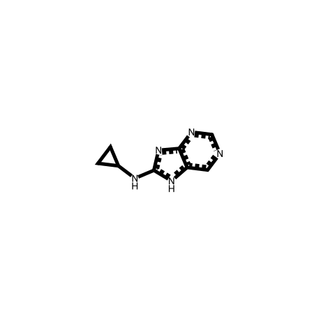 c1ncc2[nH]c(NC3CC3)nc2n1